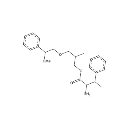 BC(C(=O)OCC(C)COCC(OC)c1ccccc1)C(C)c1ccccc1